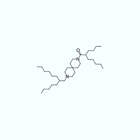 CCCCCCC(CCCCC)CN1CCC2(CC1)CCN(C(=O)C(CCCC)CCCCC)CC2